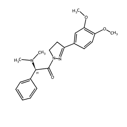 COc1ccc(C2=NN(C(=O)[C@@H](c3ccccc3)N(C)C)CC2)cc1OC